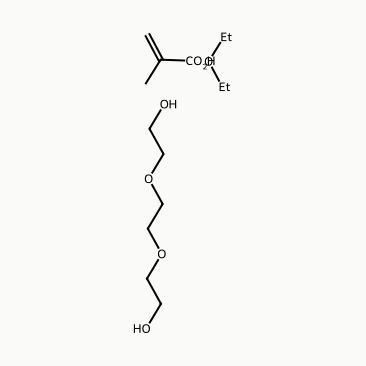 C=C(C)C(=O)O.CCOCC.OCCOCCOCCO